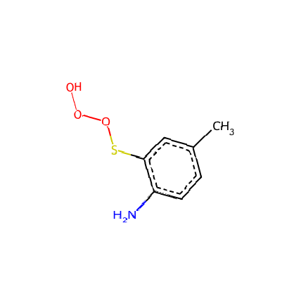 Cc1ccc(N)c(SOOO)c1